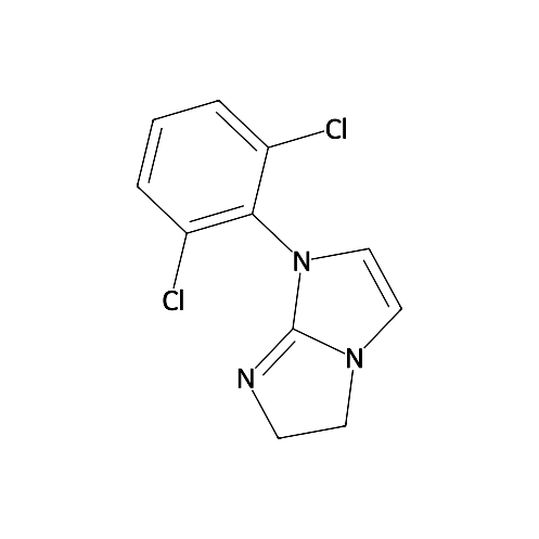 Clc1cccc(Cl)c1N1C=CN2CCN=C21